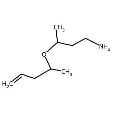 C=CCC(C)OC(C)CCN